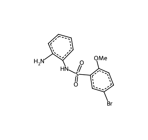 COc1ccc(Br)cc1S(=O)(=O)Nc1ccccc1N